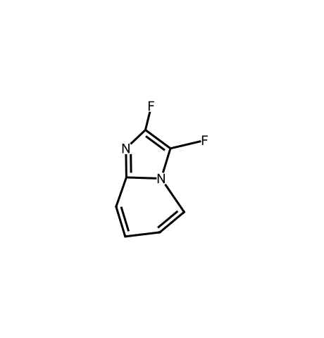 Fc1nc2ccccn2c1F